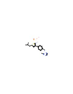 Cc1nccn1Cc1ccc(-c2cc(CC(C)C)sc2N[SH](=O)=O)cc1